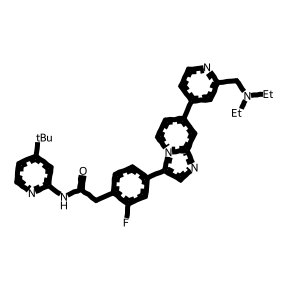 CCN(CC)Cc1cc(-c2ccn3c(-c4ccc(CC(=O)Nc5cc(C(C)(C)C)ccn5)c(F)c4)cnc3c2)ccn1